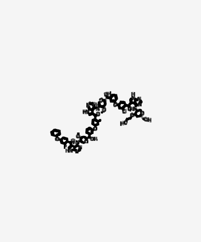 CO[C@@H]1C[C@@H](C(O)c2cccc(OC3C=CC(C(=O)c4c[nH]c5ncnc(N[C@H]6CO[C@H](CO)C[C@H]6OCCO)c45)=C(Cl)C3)c2)OC[C@@H]1Nc1ncnc2[nH]cc(C(=O)c3ccc(Oc4cccc(C(O)[C@@H]5C[C@@H](OC)[C@@H](Nc6ncnc7[nH]cc(C(=O)c8ccc(Oc9ccccc9)cc8F)c67)CO5)c4)cc3C)c12